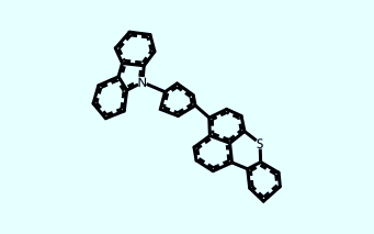 c1ccc2c(c1)Sc1ccc(-c3ccc(-n4c5ccccc5c5ccccc54)cc3)c3cccc-2c13